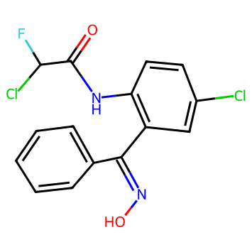 O=C(Nc1ccc(Cl)cc1C(=NO)c1ccccc1)C(F)Cl